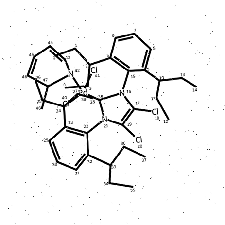 CCC(CC)c1cccc(C(CC)CC)c1N1C(Cl)=C(Cl)N(c2c(C(CC)CC)cccc2C(CC)CC)[CH]1[Pd]([Cl])([Cl])[N]1C=CC=CC1C